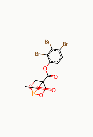 O=C(Oc1ccc(Br)c(Br)c1Br)C12COP(OC1)OC2=O